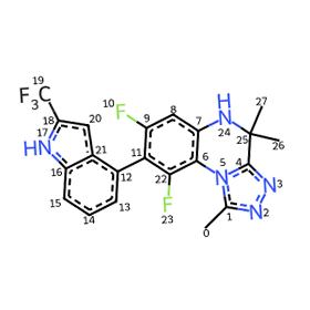 Cc1nnc2n1-c1c(cc(F)c(-c3cccc4[nH]c(C(F)(F)F)cc34)c1F)NC2(C)C